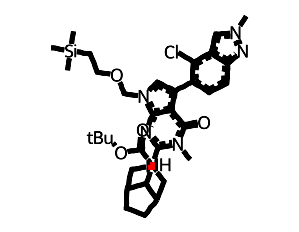 Cn1cc2c(Cl)c(-c3cn(COCC[Si](C)(C)C)c4nc(N5CC6CCC(C5)C6NC(=O)OC(C)(C)C)n(C)c(=O)c34)ccc2n1